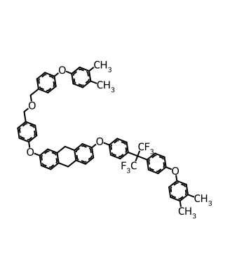 Cc1ccc(Oc2ccc(COCc3ccc(Oc4ccc5c(c4)Cc4cc(Oc6ccc(C(c7ccc(Oc8ccc(C)c(C)c8)cc7)(C(F)(F)F)C(F)(F)F)cc6)ccc4C5)cc3)cc2)cc1C